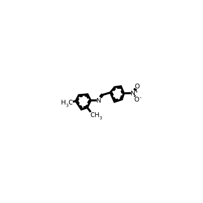 Cc1ccc(N=Cc2ccc([N+](=O)[O-])cc2)c(C)c1